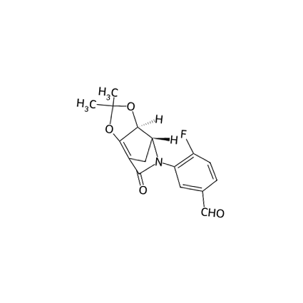 CC1(C)OC2=C3C[C@H]([C@@H]2O1)N(c1cc(C=O)ccc1F)C3=O